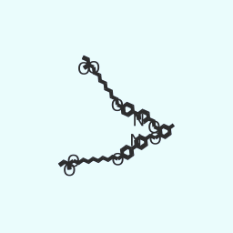 C=CC(=O)OCCCCCCCCOc1ccc(-c2ccc(COc3ccc(C)cc3OCc3ccc(-c4ccc(OCCCCCCCCOC(=O)C=C)cc4)nc3)cn2)cc1